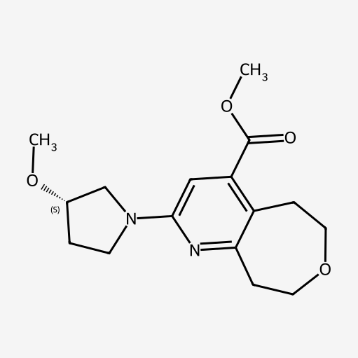 COC(=O)c1cc(N2CC[C@H](OC)C2)nc2c1CCOCC2